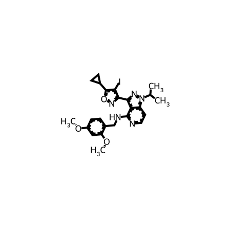 COc1ccc(CNc2nccc3c2c(-c2noc(C4CC4)c2I)nn3C(C)C)c(OC)c1